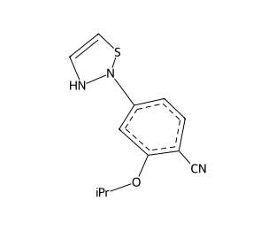 CC(C)Oc1cc(N2NC=CS2)ccc1C#N